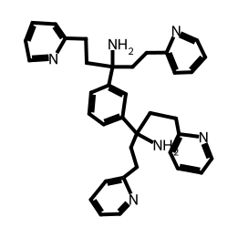 NC(CCc1ccccn1)(CCc1ccccn1)c1cccc(C(N)(CCc2ccccn2)CCc2ccccn2)c1